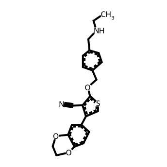 CCNCc1ccc(COc2scc(-c3ccc4c(c3)OCCO4)c2C#N)cc1